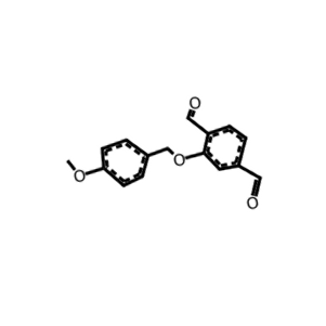 COc1ccc(COc2cc(C=O)ccc2C=O)cc1